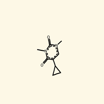 Cn1cc(C2CC2)c(=O)n(C)c1=O